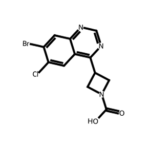 O=C(O)N1CC(c2ncnc3cc(Br)c(Cl)cc23)C1